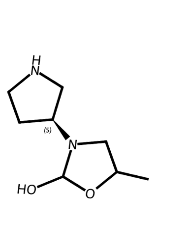 CC1CN([C@H]2CCNC2)C(O)O1